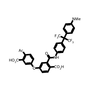 CNc1ccc(C(c2ccc(NC(=O)c3cc(Oc4ccc(C(C)=O)c(C(=O)O)c4)ccc3C(=O)O)cc2)(C(F)(F)F)C(F)(F)F)cc1